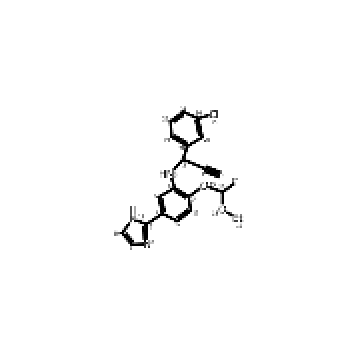 C#CC(Nc1cc(-c2ncc[nH]2)ccc1OC(C)OCC)c1cccc(Cl)c1